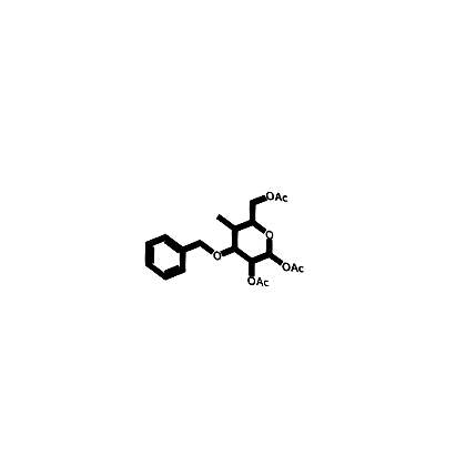 CC(=O)OCC1OC(OC(C)=O)C(OC(C)=O)C(OCc2ccccc2)C1C